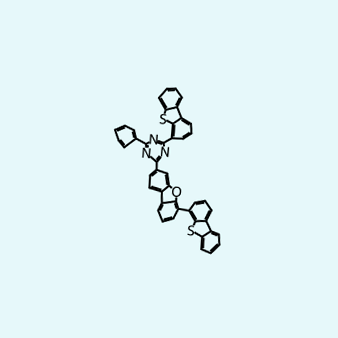 c1ccc(-c2nc(-c3ccc4c(c3)oc3c(-c5cccc6c5sc5ccccc56)cccc34)nc(-c3cccc4c3sc3ccccc34)n2)cc1